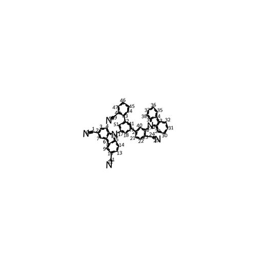 N#Cc1ccc2c(c1)c1cc(C#N)ccc1n2-c1cc(-c2ccc(C#N)c(-n3c4ccccc4c4ccccc43)c2)cc(-c2ccccc2C#N)c1